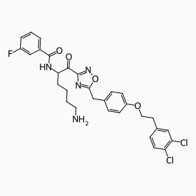 NCCCCC(NC(=O)c1cccc(F)c1)C(=O)c1noc(Cc2ccc(OCCc3ccc(Cl)c(Cl)c3)cc2)n1